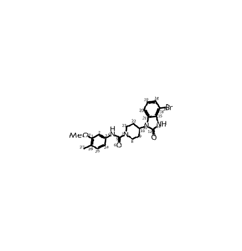 COc1cc(NC(=O)N2CCC(n3c(=O)[nH]c4c(Br)cccc43)CC2)ccc1C